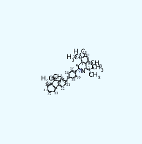 CC(C)=C/N=C(\Cc1cc(C)cc(C)c1C)c1ccc(-c2ccc3c(c2)C(C)(C)c2ccccc2-3)cc1